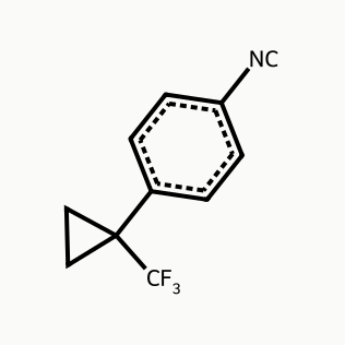 [C-]#[N+]c1ccc(C2(C(F)(F)F)CC2)cc1